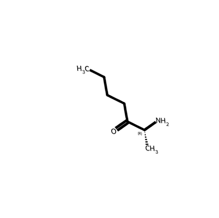 CCCCC(=O)[C@@H](C)N